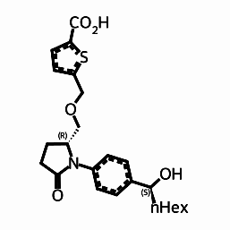 CCCCCC[C@H](O)c1ccc(N2C(=O)CC[C@@H]2COCc2ccc(C(=O)O)s2)cc1